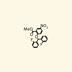 COC(=O)c1cc([N+](=O)[O-])ccc1OC(c1ccccc1F)c1ccccc1F